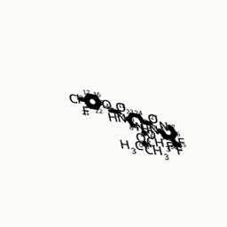 CC(C)(C)OC(=O)N1CC(NC(=O)COc2ccc(Cl)c(F)c2)CCC1C(=O)Nc1cc(C(F)(F)F)ccn1